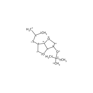 CC(C)SC1COC2C(OC(C)(C)C)COC12